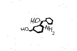 N[C@@H]1CCC(CO)CC1[C@@H](O)C1CCCCC1